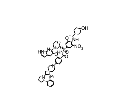 CC(C)c1ccccc1[C@@H]1CCCN1C1CC2(CCN(c3ccc(C(=O)NS(=O)(=O)c4cc5c(c([N+](=O)[O-])c4)N[C@@H]([C@H]4CC[C@](C)(O)CC4)CO5)c(Oc4cc5cc[nH]c5nc4N4CCOCC4)c3)CC2)C1